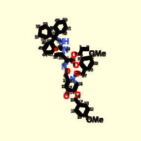 C=CCOC(=O)/C(=N\OCc1cc(=O)c(OCc2ccc(OC)cc2)cn1OCc1ccc(OC)cc1)c1csc(NC(c2ccccc2)(c2ccccc2)c2ccccc2)n1